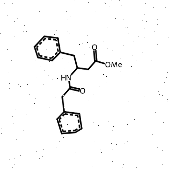 COC(=O)CC(Cc1ccccc1)NC(=O)Cc1ccccc1